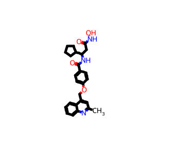 Cc1cc(COc2ccc(C(=O)NC(CC(=O)NO)C3CCCC3)cc2)c2ccccc2n1